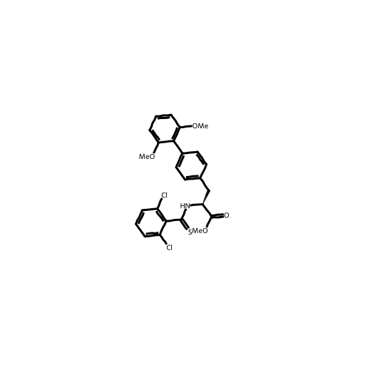 COC(=O)[C@H](Cc1ccc(-c2c(OC)cccc2OC)cc1)NC(=S)c1c(Cl)cccc1Cl